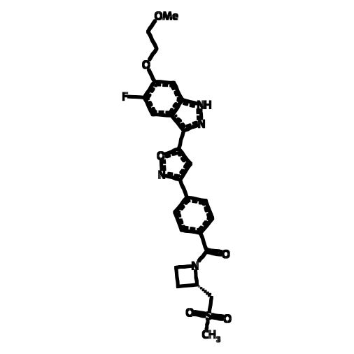 COCCOc1cc2[nH]nc(-c3cc(-c4ccc(C(=O)N5CC[C@H]5CS(C)(=O)=O)cc4)no3)c2cc1F